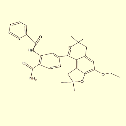 CCOc1cc2c(c3c1OC(C)(C)C3)C(c1ccc(C(N)=O)c(NC(=O)c3ccccn3)c1)=NC(C)(C)C2